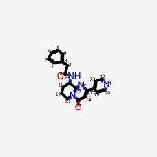 O=C(Cc1ccccc1)NC1CCCn2c1nc(-c1ccncc1)cc2=O